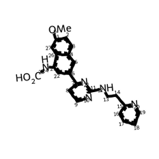 COc1ccc2cc(-c3ccnc(NCCc4ccccn4)n3)cc(NC(=O)O)c2c1